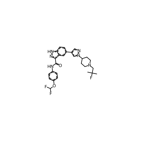 CC(C)(F)CN1CCC(n2cc(-c3ccc4[nH]nc(C(=O)Nc5ccc(OC(F)F)cc5)c4c3)cn2)CC1